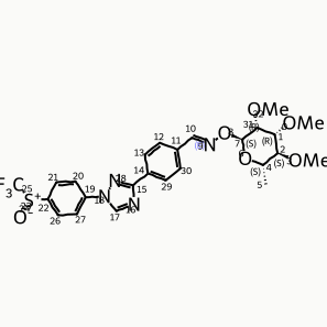 CO[C@@H]1[C@@H](OC)[C@H](C)O[C@@H](O/N=C/c2ccc(-c3ncn(-c4ccc([S+]([O-])C(F)(F)F)cc4)n3)cc2)[C@@H]1OC